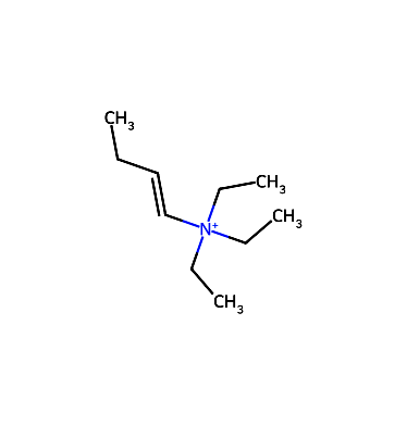 CC/C=C/[N+](CC)(CC)CC